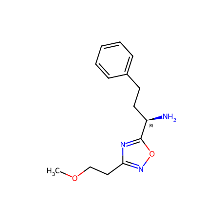 COCCc1noc([C@H](N)CCc2ccccc2)n1